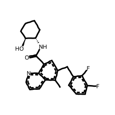 Cc1c(Cc2cccc(F)c2F)cc(C(=O)N[C@H]2CCCC[C@@H]2O)c2ncccc12